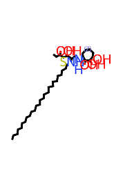 CCCCCCCCCCCCCCCCCCCCCCCCCC(=S)NC(CNC1C/C=C\CC(O)C(O)C1O)C(O)CC(O)CC